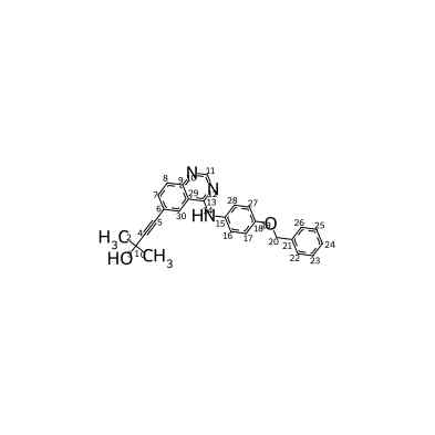 CC(C)(O)C#Cc1ccc2ncnc(Nc3ccc(OCc4ccccc4)cc3)c2c1